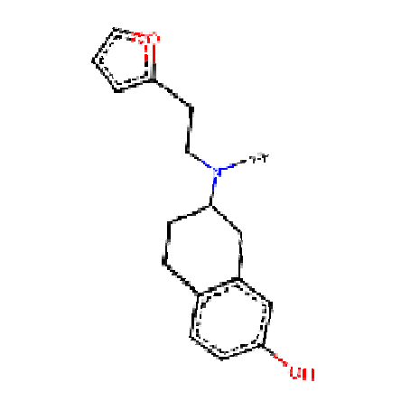 CCCN(CCc1ccco1)C1CCc2ccc(O)cc2C1